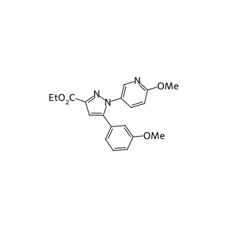 CCOC(=O)c1cc(-c2cccc(OC)c2)n(-c2ccc(OC)nc2)n1